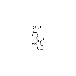 O=C1c2ccccc2C(=O)N1C1CCC(CS(=O)(=O)O)CC1